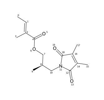 C/C=C(\C)C(=O)OC[C@H](C)CN1C(=O)C(C)=C(C)C1=O